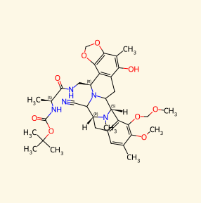 COCOc1c(OC)c(C)cc2c1[C@H]1C3Cc4c(O)c(C)c5c(c4[C@H](CNC(=O)[C@H](C)NC(=O)OC(C)(C)C)N3C(C#N)[C@@H](C2)N1C)OCO5